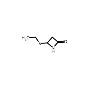 CCSC1CC(=O)N1